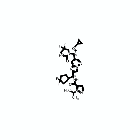 CC(C)n1nccc1C(=O)N[C@H](c1cn2ncc([C@@H](COC3CC3)N3CC(F)(F)CNC3=O)cc2n1)C1CCC(F)(F)CC1